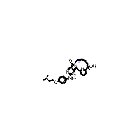 CN(C)CCOc1ccc(Nc2ncc3c(=O)n4n(c3n2)-c2cccc(n2)[C@@](C)(O)CC/C=C\C4)cc1